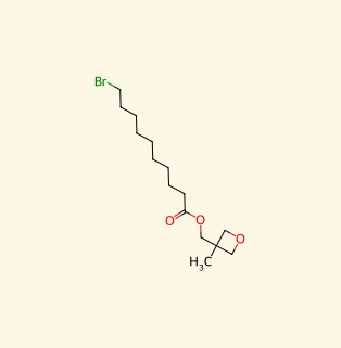 CC1(COC(=O)CCCCCCCCCBr)COC1